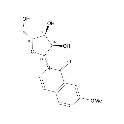 COc1ccc2ccn([C@@H]3O[C@H](CO)[C@@H](O)[C@H]3O)c(=O)c2c1